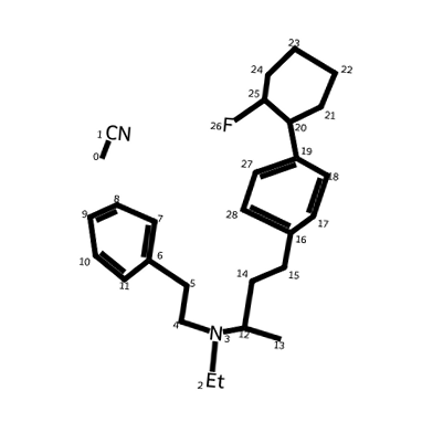 CC#N.CCN(CCc1ccccc1)C(C)CCc1ccc(C2CCCCC2F)cc1